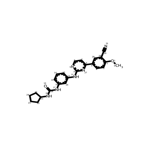 COc1ccc(-c2ccnc(Nc3cccc(NC(=O)NC4CCCC4)c3)n2)cc1C#N